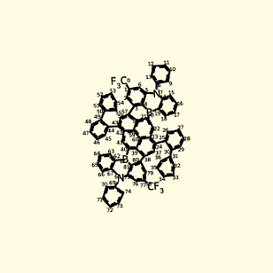 FC(F)(F)c1cc2c3c(c1)N(c1ccccc1)c1ccccc1B3c1cc3c(-c4ccccc4-c4ccccc4)cc4c5c(cc6c(-c7ccccc7-c7ccccc7)cc-2c1c6c35)B1c2ccccc2N(c2ccccc2)c2cc(C(F)(F)F)cc-4c21